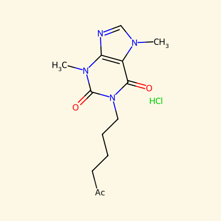 CC(=O)CCCCn1c(=O)c2c(ncn2C)n(C)c1=O.Cl